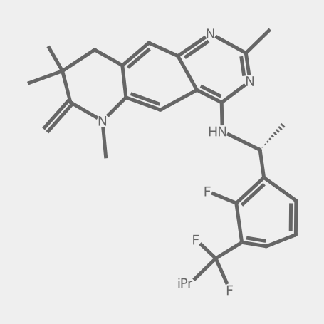 C=C1N(C)c2cc3c(N[C@H](C)c4cccc(C(F)(F)C(C)C)c4F)nc(C)nc3cc2CC1(C)C